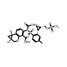 COC(=O)c1c(N(C(=O)OC)S(=O)(=O)c2ccc(F)cc2[C@@H]2C[C@@H]2COS(C)(=O)=O)ccc2c1OC[C@@H]1C[C@H]21